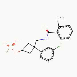 COc1ccccc1C(=O)NCC1(c2cccc(F)c2)CC(OS(C)(=O)=O)C1